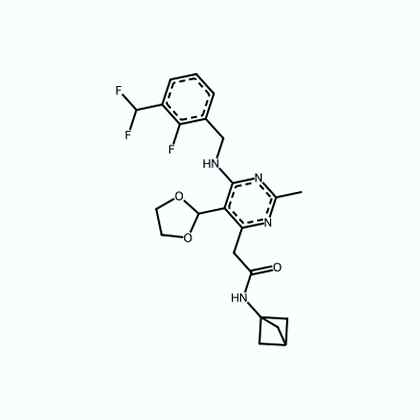 Cc1nc(CC(=O)NC23CC(C2)C3)c(C2OCCO2)c(NCc2cccc(C(F)F)c2F)n1